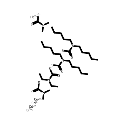 CCCCCN(CCCCC)C(=S)[S-].CCCCCN(CCCCC)C(=S)[S-].CCN(CC)C(=S)[S-].CN(C)C(=S)[S-].CN(C)C(=S)[S-].[Bi+3].[Cd+2].[Cd+2].[Cu+2].[Pb+2]